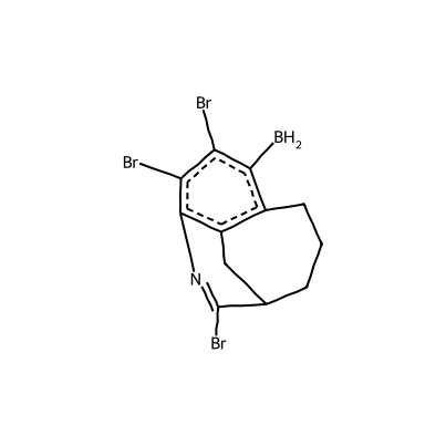 Bc1c(Br)c(Br)c2c3c1CCCC(C3)C(Br)=N2